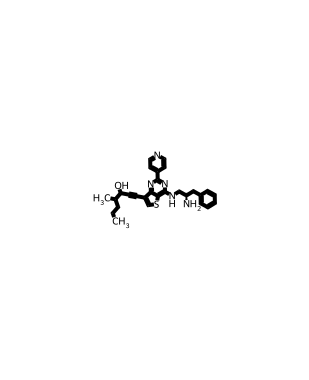 CCCC(C)C(O)C#Cc1csc2c(NC[C@H](N)Cc3ccccc3)nc(-c3ccncc3)nc12